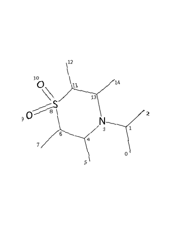 CC(C)N1C(C)C(C)S(=O)(=O)C(C)C1C